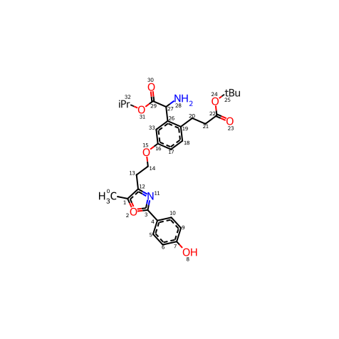 Cc1oc(-c2ccc(O)cc2)nc1CCOc1ccc(CCC(=O)OC(C)(C)C)c(C(N)C(=O)OC(C)C)c1